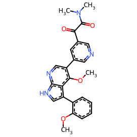 COc1ccccc1-c1c[nH]c2ncc(-c3cncc(C(=O)C(=O)N(C)C)c3)c(OC)c12